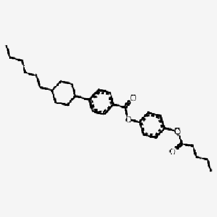 CCCCCCC1CCC(c2ccc(C(=O)Oc3ccc(OC(=O)CCCC)cc3)cc2)CC1